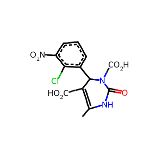 CC1=C(C(=O)O)C(c2cccc([N+](=O)[O-])c2Cl)N(C(=O)O)C(=O)N1